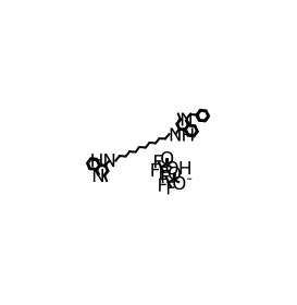 Cc1cc(NCCCCCCCCCCCCNc2cc(C)[n+](Cc3ccccc3)c3ccccc23)c2ccccc2n1.O=C(O)C(F)(F)F.O=C([O-])C(F)(F)F